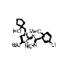 COc1ccc(Cl)cc1C(=NC#N)N=c1sc(C(C)(C)C)cn1CC1(O)CCCC1